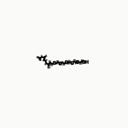 CC(C)CC(C)CCCC(C)CCOCCOCCOCCOCCOCCO